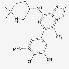 CNc1cc(-c2nc(N[C@H]3CCC(C)(C)NC3)c3nccn3c2C(F)(F)F)cc(C#N)c1Cl